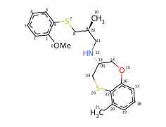 COc1ccccc1SC[C@@H](C)CN[C@@H]1COc2cccc(C)c2SC1